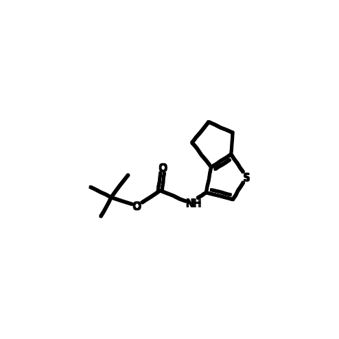 CC(C)(C)OC(=O)Nc1csc2c1CCC2